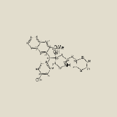 COc1nc2ccccc2cc1C(c1ccc(Cl)cc1)C1(O)CCNC(CC2CCCCC2)C1